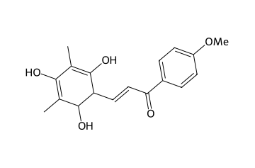 COc1ccc(C(=O)C=CC2C(O)=C(C)C(O)=C(C)C2O)cc1